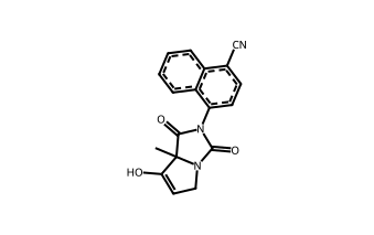 CC12C(=O)N(c3ccc(C#N)c4ccccc34)C(=O)N1CC=C2O